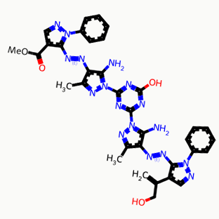 C=C(CO)c1cnn(-c2ccccc2)c1/N=N/c1c(C)nn(-c2nc(O)nc(-n3nc(C)c(/N=N/c4c(C(=O)OC)cnn4-c4ccccc4)c3N)n2)c1N